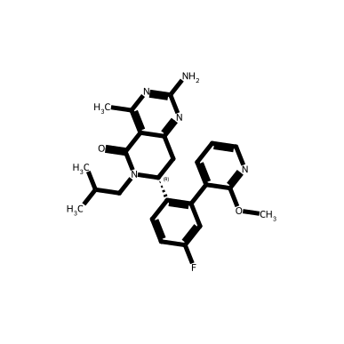 COc1ncccc1-c1cc(F)ccc1[C@H]1Cc2nc(N)nc(C)c2C(=O)N1CC(C)C